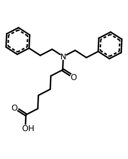 O=C(O)CCCCC(=O)N(CCc1ccccc1)CCc1ccccc1